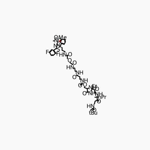 CCCC(C)(NCC(=O)C(C)(CC)NC(COC(=O)NCCC(=O)NCCNC(=O)COCC(=O)NCCC[C@@]1(c2ccccc2)SC(c2cc(F)ccc2F)=NN1C(=O)N(C)OC)C(N)=O)C(=O)CCNC(=O)CC(C)(C)C